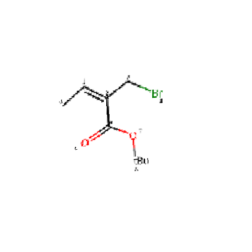 C/C=C(/CBr)C(=O)OC(C)(C)C